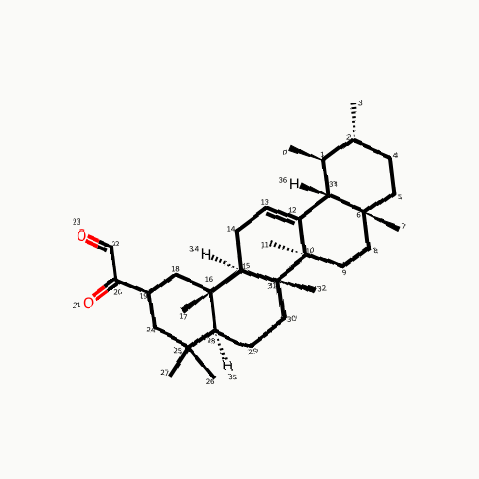 C[C@H]1[C@H](C)CC[C@]2(C)CC[C@]3(C)C(=CC[C@@H]4[C@@]5(C)CC(C(=O)C=O)CC(C)(C)[C@@H]5CC[C@]43C)[C@H]12